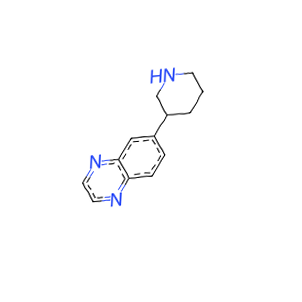 c1cnc2cc(C3CCCNC3)ccc2n1